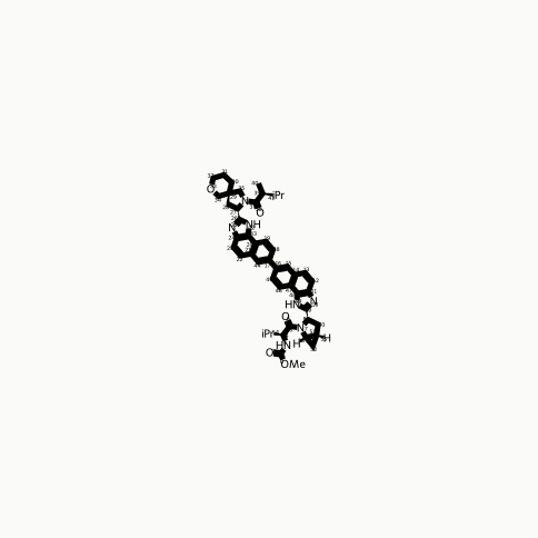 COC(=O)N[C@H](C(=O)N1[C@H](c2nc3ccc4cc(-c5ccc6c(ccc7nc([C@@H]8C[C@@]9(CCCOC9)CN8C(=O)[C@@H](C)C(C)C)[nH]c76)c5)ccc4c3[nH]2)C[C@@H]2C[C@@H]21)C(C)C